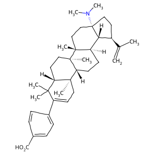 C=C(C)[C@@H]1CC[C@]2(N(C)C)CC[C@]3(C)[C@H](CC[C@@H]4[C@@]5(C)CC=C(c6ccc(C(=O)O)cc6)C(C)(C)[C@@H]5CC[C@]43C)[C@@H]12